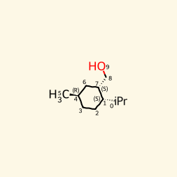 CC(C)[C@@H]1CC[C@@H](C)C[C@@H]1CO